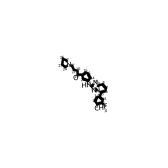 Cc1ccc(-c2cccc3nc(Nc4cccc(C(=O)CCCN5CCCC5)c4)nn23)cc1F